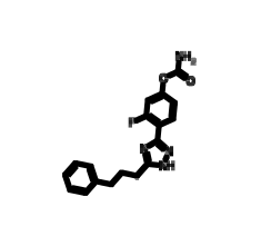 NC(=O)Oc1ccc(-c2n[nH]c([CH]CCc3ccccc3)n2)c(F)c1